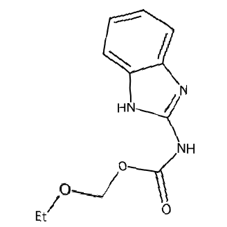 CCOCOC(=O)Nc1nc2ccccc2[nH]1